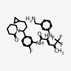 C=C(/C=C(\Nc1cccc(CN)c1)C(=O)Nc1cc(C(CCC2CC2)N2CCCCC2=O)ccc1F)C(F)(F)F